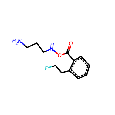 NCCCNOC(=O)c1ccccc1CCF